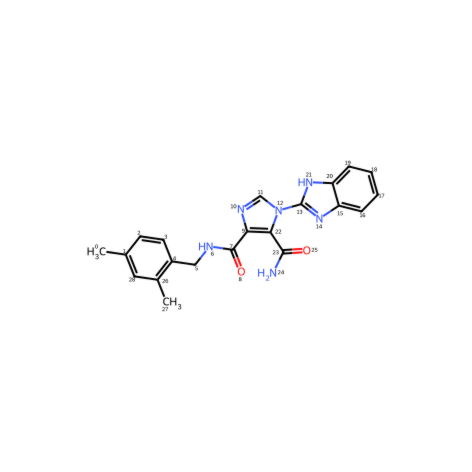 Cc1ccc(CNC(=O)c2ncn(-c3nc4ccccc4[nH]3)c2C(N)=O)c(C)c1